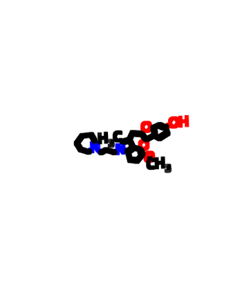 COc1ccc2c(c1)c(C=C1Oc3cc(O)ccc3C1=O)c(C)n2CCCN1CCCCCC1